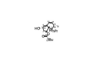 CCC[C@@H]1[C@@H]2C(=C[C@@H](O)C[C@@H]2OC(=O)[C@@H](C)CC)C=C[C@@H]1C